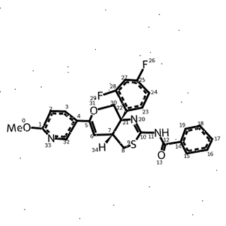 COc1ccc(C2=C[C@H]3CSC(NC(=O)c4ccccc4)=N[C@@]3(c3ccc(F)cc3F)CO2)cn1